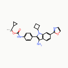 C[C@@H](OC(=O)Nc1ccc(-c2c(N)c3ccc(-c4ncco4)cc3n2C2CCC2)cc1)C1CC1